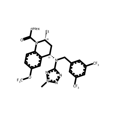 CCCCCCC(=O)N1c2ccc(OC(F)(F)F)cc2[C@@H](N(Cc2cc(C(F)(F)F)cc(C(F)(F)F)c2)c2nnn(C)n2)C[C@H]1CC